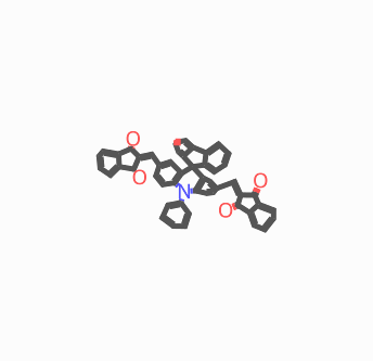 O=C1C(=Cc2ccc3c(c2)C2(c4ccccc4-c4ccccc42)c2cc(C=C4C(=O)c5ccccc5C4=O)ccc2N3c2ccccc2)C(=O)c2ccccc21